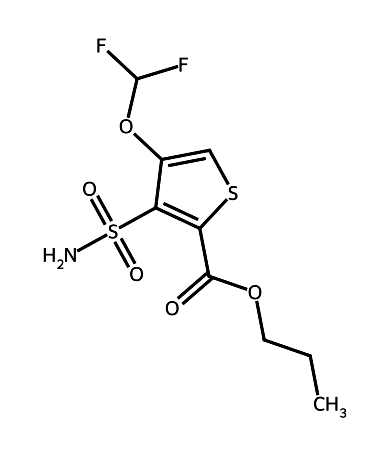 CCCOC(=O)c1scc(OC(F)F)c1S(N)(=O)=O